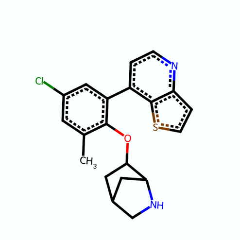 Cc1cc(Cl)cc(-c2ccnc3ccsc23)c1OC1CC2CNC1C2